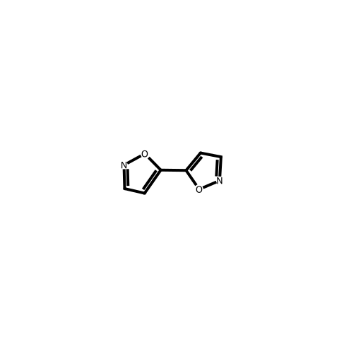 c1cc(-c2ccno2)on1